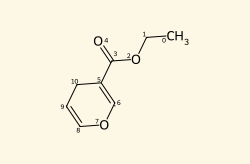 CCOC(=O)C1=[C]OC=CC1